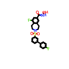 O=C(NO)c1cc(F)c2c(c1)CCN(S(=O)(=O)c1cccc(-c3ccc(F)cc3)c1)CC2